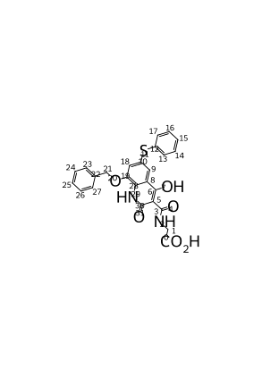 O=C(O)CNC(=O)c1c(O)c2cc(Sc3ccccc3)cc(OCc3ccccc3)c2[nH]c1=O